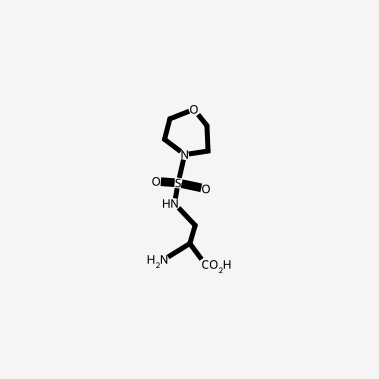 NC(CNS(=O)(=O)N1CCOCC1)C(=O)O